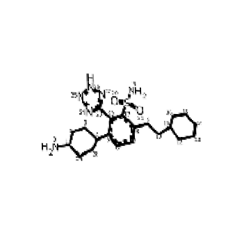 NC1CCC(c2ccc(CCC3CCCCC3)c(S(N)(=O)=O)c2-c2nn[nH]n2)CC1